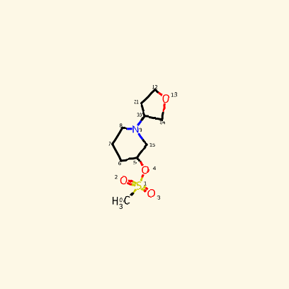 CS(=O)(=O)OC1CCCN(C2CCOC2)C1